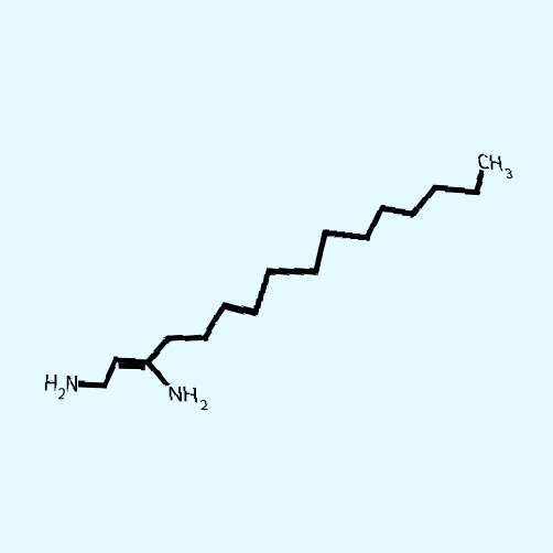 CCCCCCCCCCCCCC(N)=CCN